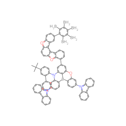 Bc1c(B)c(B)c(-c2ccc3oc4ccc5oc6c(-c7cc8c9c(c7)N(c7ccc(C(C)(C)C)cc7-c7ccccc7)c7cc(-n%10c%11ccccc%11c%11ccccc%11%10)ccc7B9c7ccc(-n9c%10ccccc%10c%10ccccc%109)cc7O8)cccc6c5c4c3c2)c(B)c1B